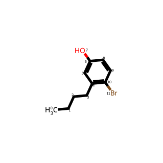 CCCCc1cc(O)ccc1Br